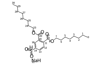 CCCCCCCCOC(=O)c1ccc([SH](=O)=O)cc1C(=O)OCCCCCCCC.[NaH]